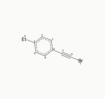 CCc1ccc(C#CBr)cc1